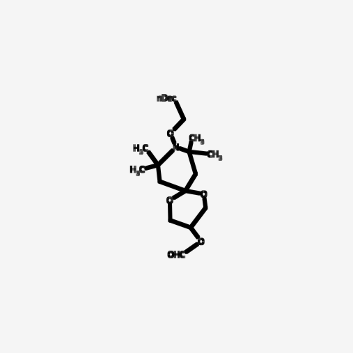 CCCCCCCCCCCON1C(C)(C)CC2(CC1(C)C)OCC(OC=O)CO2